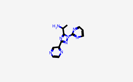 CC(N)c1nc(-c2cnccn2)nn1-c1ncccn1